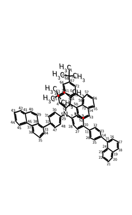 CC1C=CC=C(N(c2ccc(-c3ccc(-c4cccc5ccccc45)cc3)cc2)c2ccc(-c3cccc4c3ccc3ccccc34)cc2)C1c1cccc2cccc(-c3cc(C(C)(C)C)cc(C(C)(C)C)c3)c12